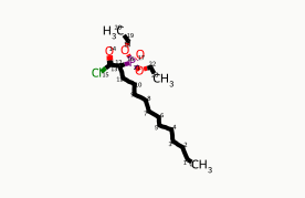 CCCCCCCCCCCCC(C(=O)Cl)P(=O)(OCC)OCC